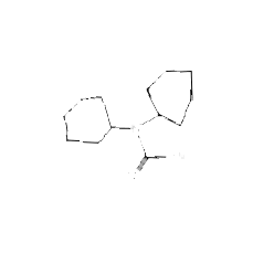 CC(C)(C)C(=N)N(C1CCCCC1)C1CCCCC1